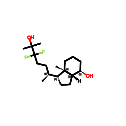 C[C@H](CCC(F)(F)C(C)(C)O)[C@H]1CC[C@H]2[C@@H](O)CCC[C@]12C